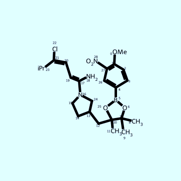 COc1ccc(B2OC(C)(C)C(C)(CC3CCN(/C(N)=C/C=C(/Cl)C(C)C)C3)O2)cc1[N+](=O)[O-]